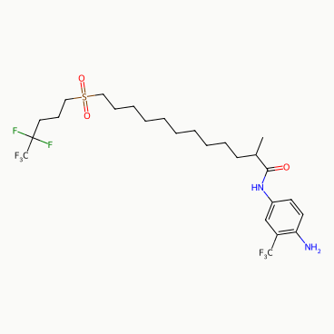 CC(CCCCCCCCCCS(=O)(=O)CCCC(F)(F)C(F)(F)F)C(=O)Nc1ccc(N)c(C(F)(F)F)c1